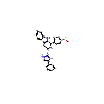 COc1ccc(C2N[C@H](c3nc(-c4ccccc4)c[nH]3)Cc3c2[nH]c2ccccc32)cc1